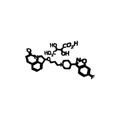 O=C(O)C(O)C(O)C(=O)O.O=C1CCc2cccc3c2N1CC3OCCCN1CCC(c2noc3cc(F)ccc23)CC1